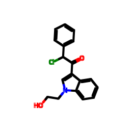 O=C(c1cn(CCO)c2ccccc12)C(Cl)c1ccccc1